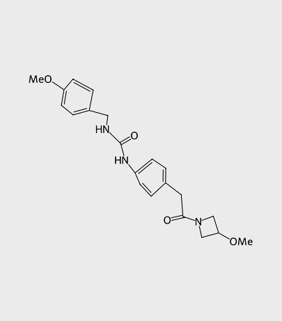 COc1ccc(CNC(=O)Nc2ccc(CC(=O)N3CC(OC)C3)cc2)cc1